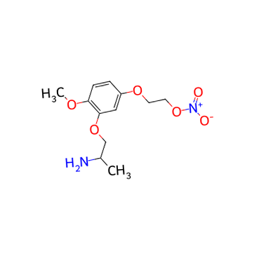 COc1ccc(OCCO[N+](=O)[O-])cc1OCC(C)N